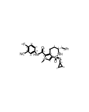 CC(C)C[C@H]1CCc2c(cn(C)c2C(=O)Nc2ccc(F)c(C#N)c2)S(=O)(=NC2CC2)N1